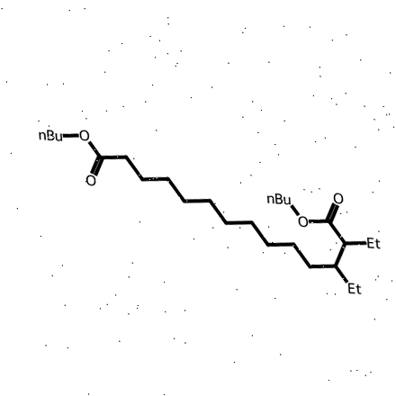 CCCCOC(=O)CCCCCCCCCCC(CC)C(CC)C(=O)OCCCC